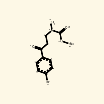 CN(CCC(=O)c1ccc(Br)cc1)C(=O)OC(C)(C)C